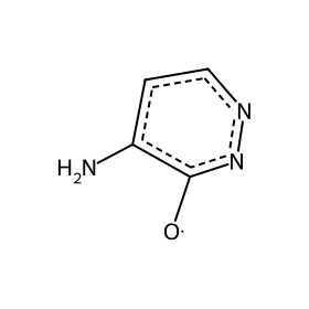 Nc1ccnnc1[O]